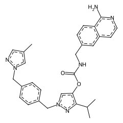 Cc1cnn(Cc2ccc(Cn3cc(OC(=O)NCc4ccc5c(N)nccc5c4)c(C(C)C)n3)cc2)c1